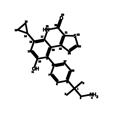 CC(C)(CN)c1ccc(-c2c(O)cc(C3CC3)c3[nH]c(=O)c4sccc4c23)cc1